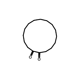 O=C1CCCCCCCCCCCCCCC1=O